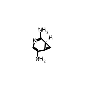 NC1=CN=C(N)[C@H]2C=C12